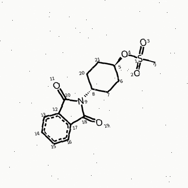 CS(=O)(=O)O[C@H]1CC[C@H](N2C(=O)c3ccccc3C2=O)CC1